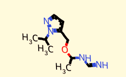 CC(NC=N)OCc1ccnn1C(C)C